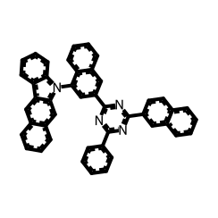 c1ccc(-c2nc(-c3ccc4ccccc4c3)nc(-c3cc(-n4c5ccccc5c5cc6ccccc6cc54)c4ccccc4c3)n2)cc1